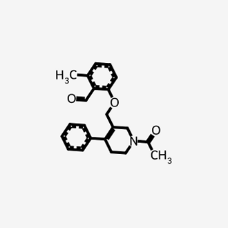 CC(=O)N1CCC(c2ccccc2)=C(COc2cccc(C)c2C=O)C1